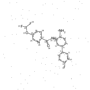 Nc1ccc(-c2ccc(F)nc2)cc1NC(=O)c1ccc(OC(F)F)cn1